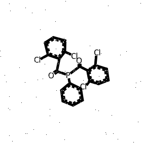 O=C(c1c(Cl)cccc1Cl)P(C(=O)c1c(Cl)cccc1Cl)c1ccccc1